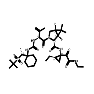 C=C(C)[C@H](NC(=O)NC1([C@@H](C)S(=O)(=O)C(C)(C)C)CCCCC1)C(=O)N1C[C@H]2[C@@H]([C@H]1C(=O)N[C@@]1(C(=O)C(=O)NCC)C[C@H]1CC)C2(C)C